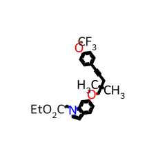 CCOC(=O)Cn1ccc2ccc(OCC(C)(C)CC#Cc3ccc(OC(F)(F)F)cc3)cc21